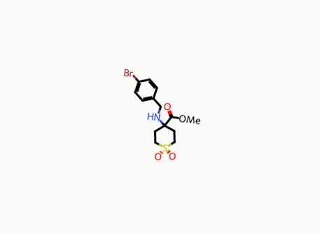 COC(=O)C1(NCc2ccc(Br)cc2)CCS(=O)(=O)CC1